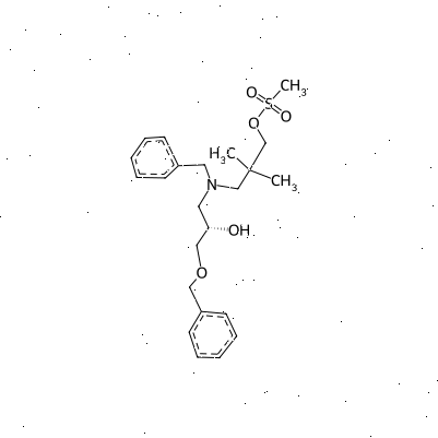 CC(C)(COS(C)(=O)=O)CN(Cc1ccccc1)C[C@H](O)COCc1ccccc1